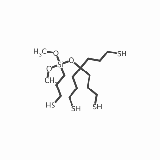 CO[Si](CCCS)(OC)OC(CCCS)(CCCS)CCCS